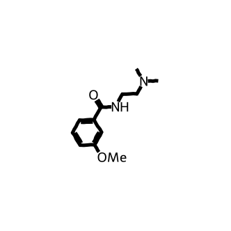 COc1cccc(C(=O)NCCN(C)C)c1